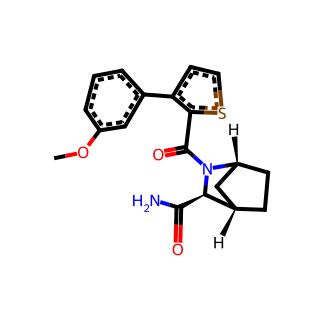 COc1cccc(-c2ccsc2C(=O)N2[C@@H]3CC[C@@H](C3)[C@H]2C(N)=O)c1